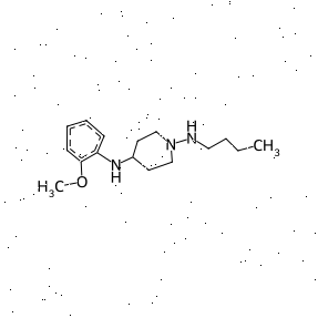 CCCCNN1CCC(Nc2ccccc2OC)CC1